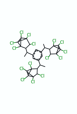 CC(c1cc(C(C)C2C(Cl)C3(Cl)CC2(Cl)C(Cl)=C3Cl)cc(C(C)C2C(Cl)C3(Cl)CC2(Cl)C(Cl)=C3Cl)c1)C1C(Cl)C2(Cl)CC1(Cl)C(Cl)=C2Cl